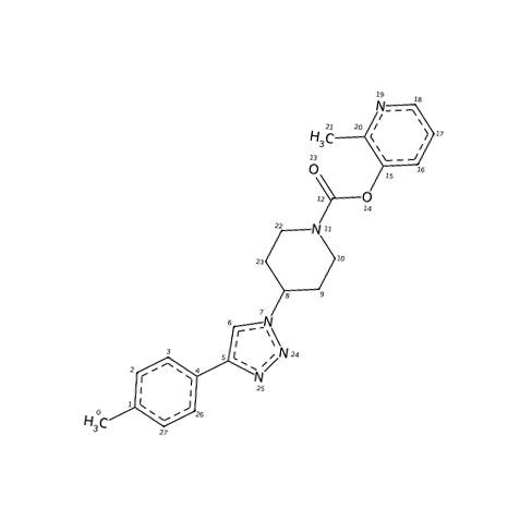 Cc1ccc(-c2cn(C3CCN(C(=O)Oc4cccnc4C)CC3)nn2)cc1